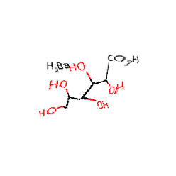 O=C(O)C(O)C(O)C(O)C(O)CO.[BaH2]